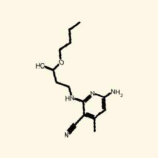 CCCCOC(O)CCNc1nc(N)cc(C)c1C#N